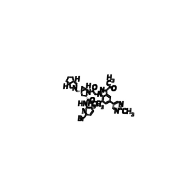 CC(=O)c1nn(CC(=O)N2[C@H](C(=O)Nc3nc(Br)ccc3C)C[C@@]3(CN4C[C@@H]5CCC[C@H]5C4)C[C@@H]23)c2c(C)cc(-c3cnc(C)nc3)cc12